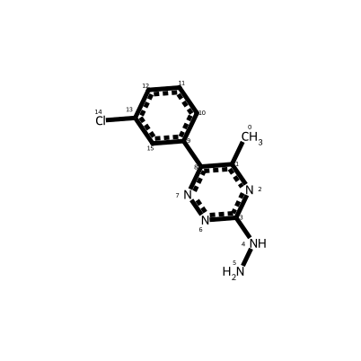 Cc1nc(NN)nnc1-c1cccc(Cl)c1